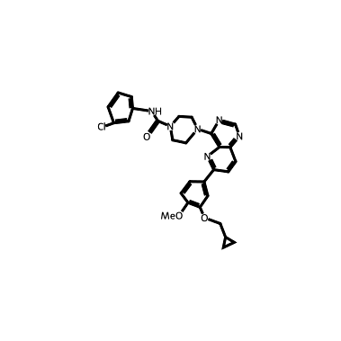 COc1ccc(-c2ccc3ncnc(N4CCN(C(=O)Nc5cccc(Cl)c5)CC4)c3n2)cc1OCC1CC1